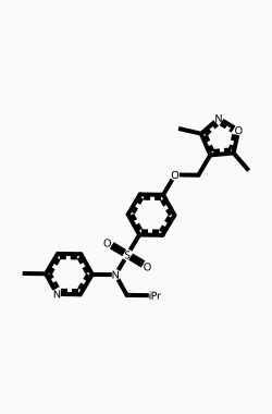 Cc1ccc(N(CC(C)C)S(=O)(=O)c2ccc(OCc3c(C)noc3C)cc2)cn1